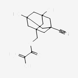 C=C(C)C(=O)OCC12CC3(C)CC(O)(CC(C#N)(C3)C1)C2